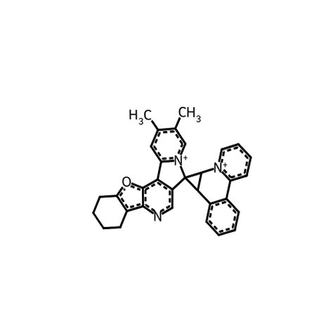 Cc1cc2[n+](cc1C)C1(c3cnc4c5c(oc4c3-2)CCCC5)C2c3ccccc3-c3cccc[n+]3C21